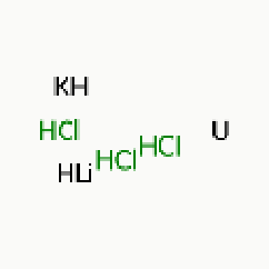 Cl.Cl.Cl.[KH].[LiH].[U]